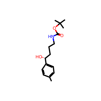 Cc1ccc([C@H](O)CCCNC(=O)OC(C)(C)C)cc1